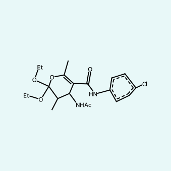 CCOC1(OCC)OC(C)=C(C(=O)Nc2ccc(Cl)cc2)C(NC(C)=O)C1C